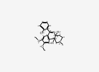 COc1cc2c(cc1OC)[C@H]1CN(C)CC[C@H]1N=C2c1ccccc1Cl